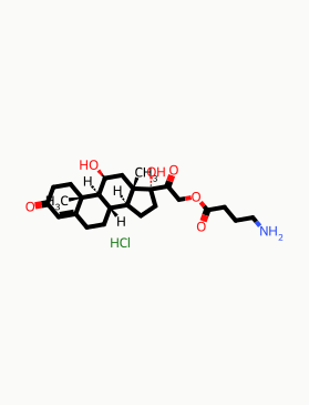 C[C@]12CCC(=O)C=C1CC[C@@H]1[C@@H]2[C@@H](O)C[C@@]2(C)[C@H]1CC[C@]2(O)C(=O)COC(=O)CCCN.Cl